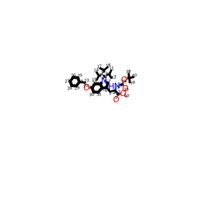 COC(=O)C(Cc1cn([Si](C(C)C)(C(C)C)C(C)C)c2cc(OCc3ccccc3)ccc12)NC(=O)OC(C)(C)C